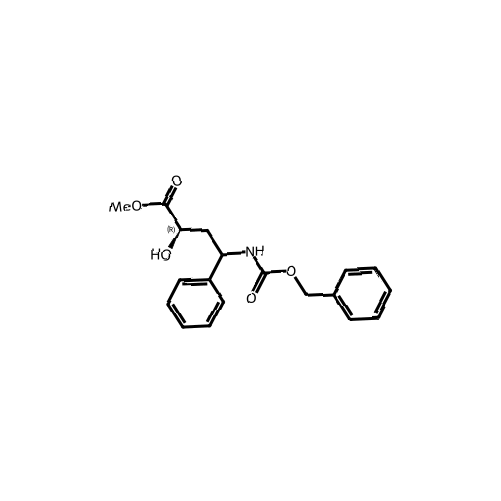 COC(=O)[C@H](O)CC(NC(=O)OCc1ccccc1)c1ccccc1